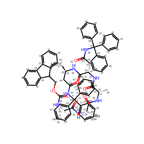 CC[C@H](C)[C@H](NC(=O)OCC1c2ccccc2-c2ccccc21)C(=O)N[C@H](C(=O)N[C@@H](C)C(=O)N[C@@H](CC(=O)NC(c1ccccc1)(c1ccccc1)c1ccccc1)C(=O)N[C@@H](CC(=O)NC(c1ccccc1)(c1ccccc1)c1ccccc1)C(=O)O)[C@@H](C)CC